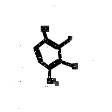 Nc1ccc(S)c(F)c1Cl